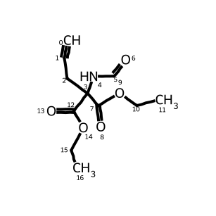 C#CCC(NC=O)(C(=O)OCC)C(=O)OCC